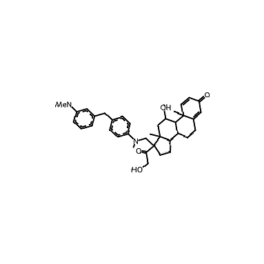 CNc1cccc(Cc2ccc(N(C)CC3(C(=O)CO)CCC4C5CCC6=CC(=O)C=CC6(C)C5C(O)CC43C)cc2)c1